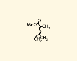 C=CC(C)=CC=C(C)C(=O)OC